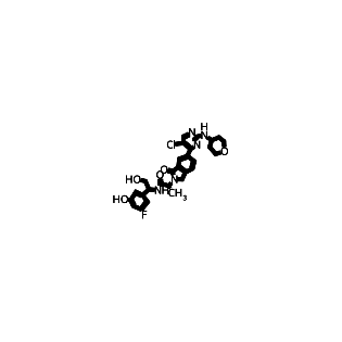 CC(C(=O)NC(CO)c1cc(O)cc(F)c1)N1Cc2ccc(-c3nc(NC4CCOCC4)ncc3Cl)cc2C1=O